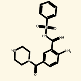 N=C(NS(=O)(=O)c1ccccc1)c1cc(C(=O)N2CCNCC2)ccc1N